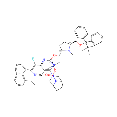 CCc1cccc2cccc(-c3ncc4c(N5CC6CCC(C5)N6C(=O)OC(C)(C)C)nc(OC[C@@H]5CC[C@@H](CO[Si](c6ccccc6)(c6ccccc6)C(C)(C)C)N5C)nc4c3F)c12